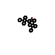 c1ccc(-c2c3ccccc3c(-c3cccc4sc5cc(-c6c7ccccc7c(C7CCCCC7)c7ccccc67)ccc5c34)c3ccccc23)cc1